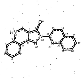 O=c1c2c[nH]c3ccccc3c-2nn1-c1ccc2ccccc2n1